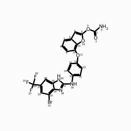 NC(=O)Oc1cc2cccc(Oc3ccc(Nc4nc5c(Br)cc(C(F)(F)F)cc5[nH]4)cc3)c2o1